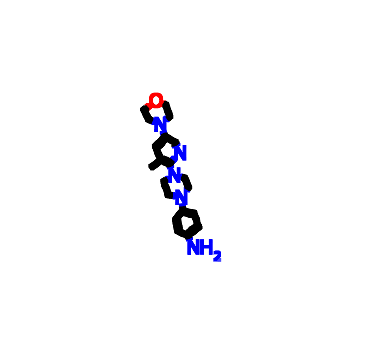 Cc1cc(N2CCOCC2)cnc1N1CCN(c2ccc(N)cc2)CC1